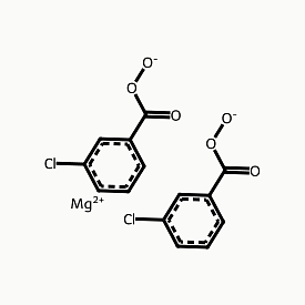 O=C(O[O-])c1cccc(Cl)c1.O=C(O[O-])c1cccc(Cl)c1.[Mg+2]